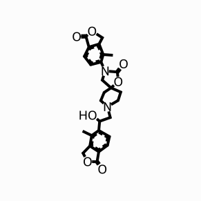 Cc1c(C(O)CN2CCC3(CC2)CN(c2ccc4c(c2C)COC4=O)C(=O)O3)ccc2c1COC2=O